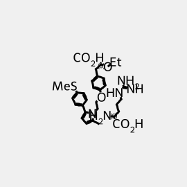 CCO[C@@H](Cc1ccc(OCCn2c(C)ccc2-c2ccc(SC)cc2)cc1)C(=O)O.N=C(N)NCCC[C@H](N)C(=O)O